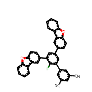 N#Cc1cc(C#N)cc(-c2cc(-c3ccc4oc5ccccc5c4c3)cc(-c3ccc4oc5ccccc5c4c3)c2F)c1